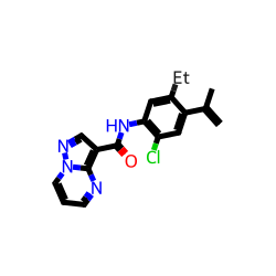 C=C(C)c1cc(Cl)c(NC(=O)c2cnn3cccnc23)cc1CC